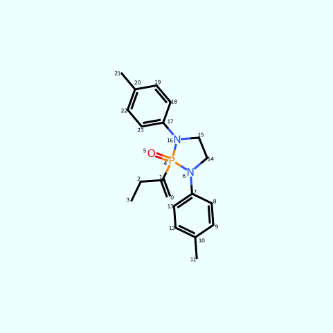 C=C(CC)P1(=O)N(c2ccc(C)cc2)CCN1c1ccc(C)cc1